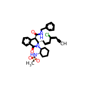 C#C/C=C(Cl)\C=C/C[C@H]1[C@H](C(=O)NCc2ccccc2)c2ccccc2C(=O)N1[C@H]1CCCC[C@@H]1NS(C)(=O)=O